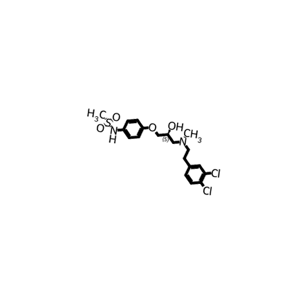 CN(CCc1ccc(Cl)c(Cl)c1)C[C@H](O)COc1ccc(NS(C)(=O)=O)cc1